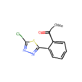 COC(=O)c1ccccc1-c1nnc(Cl)s1